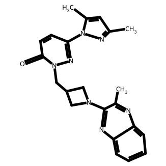 Cc1cc(C)n(-c2ccc(=O)n(CC3CN(c4nc5ccccc5nc4C)C3)n2)n1